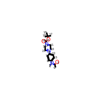 CC(=O)N(C)c1ccc(N2CCN(C(=O)OC(C)(C)C)CC2)cc1